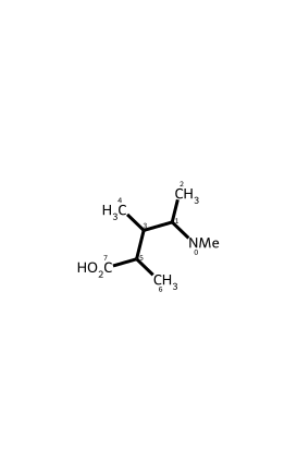 CNC(C)C(C)C(C)C(=O)O